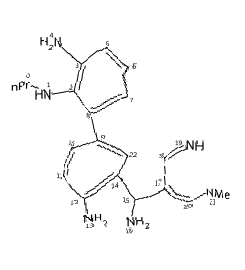 CCCNc1c(N)cccc1-c1ccc(N)c(C(N)/C(C=N)=C/NC)c1